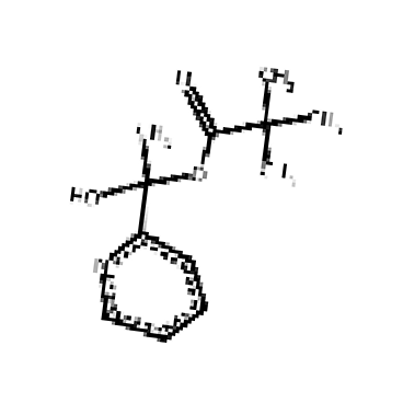 CC(C)(C)C(=O)OC(C)(O)c1ccccn1